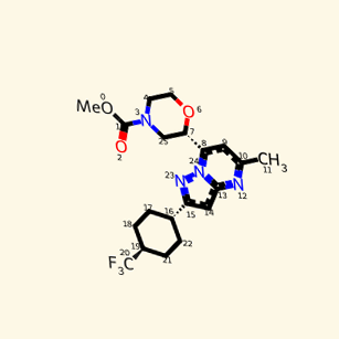 COC(=O)N1CCO[C@H](c2cc(C)nc3cc([C@H]4CC[C@H](C(F)(F)F)CC4)nn23)C1